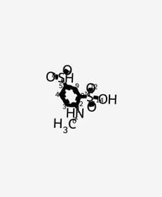 CNc1ccc([SH](=O)=O)cc1S(=O)(=O)O